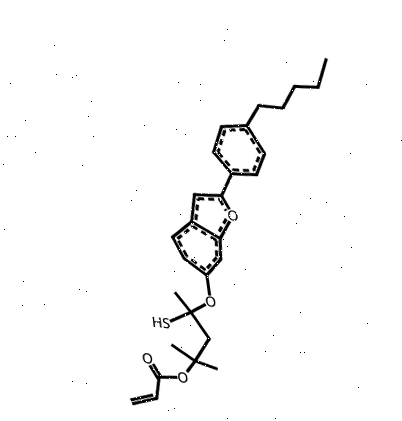 C=CC(=O)OC(C)(C)CC(C)(S)Oc1ccc2cc(-c3ccc(CCCCC)cc3)oc2c1